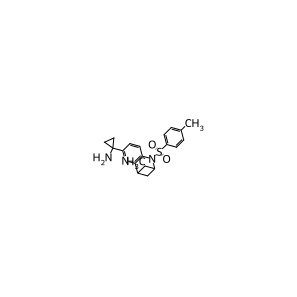 Cc1ccc(S(=O)(=O)N2c3ccc(C4(N)CC4)nc3C3CC2C3C)cc1